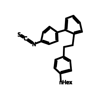 CCCCCCc1ccc(CCc2ccccc2-c2ccc(N=C=S)cc2)cc1